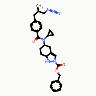 CC(CN=[N+]=[N-])Cc1ccc(C(=O)N(C2CC2)C2CCC3NN(C(=O)OCc4ccccc4)C=C3C2)cc1